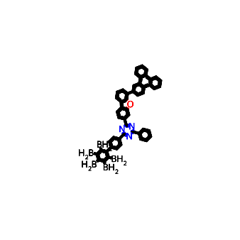 Bc1c(B)c(B)c(-c2ccc(-c3nc(-c4ccccc4)nc(-c4ccc5c(c4)oc4c(-c6ccc7c8ccccc8c8ccccc8c7c6)cccc45)n3)cc2)c(B)c1B